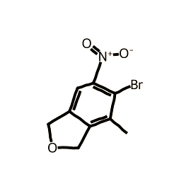 Cc1c(Br)c([N+](=O)[O-])cc2c1COC2